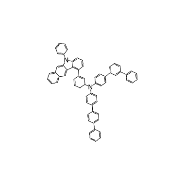 C1=CC(c2cccc3c2c2cc4ccccc4cc2n3-c2ccccc2)=CC(N(c2ccc(-c3ccc(-c4ccccc4)cc3)cc2)c2ccc(-c3cccc(-c4ccccc4)c3)cc2)C1